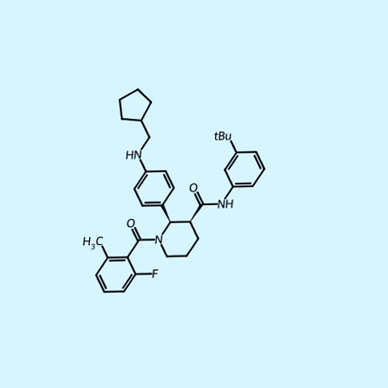 Cc1cccc(F)c1C(=O)N1CCC[C@H](C(=O)Nc2cccc(C(C)(C)C)c2)[C@@H]1c1ccc(NCC2CCCC2)cc1